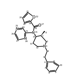 C[C@H]1CN(CCc2ccccc2)CC[C@H]1N(C(=O)c1ccco1)c1cnccn1